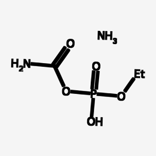 CCOP(=O)(O)OC(N)=O.N